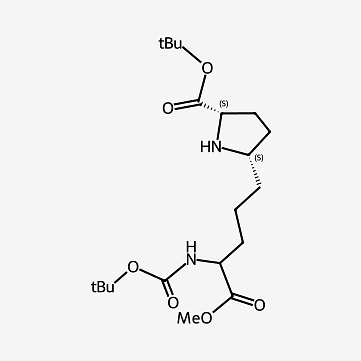 COC(=O)C(CCC[C@H]1CC[C@@H](C(=O)OC(C)(C)C)N1)NC(=O)OC(C)(C)C